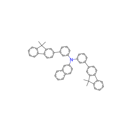 CC1(C)c2ccccc2-c2ccc(-c3cccc(N(c4cccc(-c5ccc6c(c5)C(C)(C)c5ccccc5-6)c4)c4ccc5ccccc5c4)c3)cc21